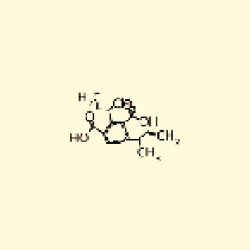 C=CC(C)c1ccc(C(=O)O)c(C(C)C=C)c1C(=O)O